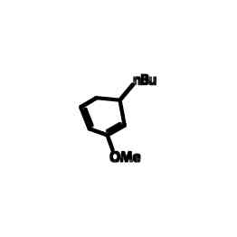 CCCCC1C=C(OC)C=CC1